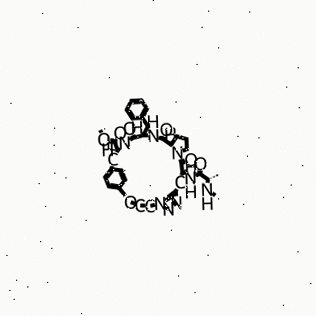 CN[C@@H](C)C(=O)N[C@H]1Cc2cn(nn2)CCOc2ccc(cc2)C[C@@H](C(=O)OC)NC(=O)[C@H](Cc2ccccc2)NC(=O)[C@@H]2CCCN2C1=O